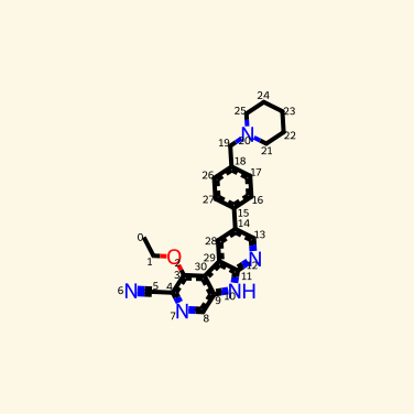 CCOc1c(C#N)ncc2[nH]c3ncc(-c4ccc(CN5CCCCC5)cc4)cc3c12